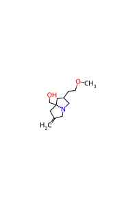 C=C1CN2CC(CCOC)CC2(CO)C1